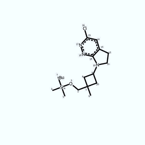 CC1(CO[Si](C)(C)C(C)(C)C)CC(N2CCc3cc(Cl)nnc32)C1